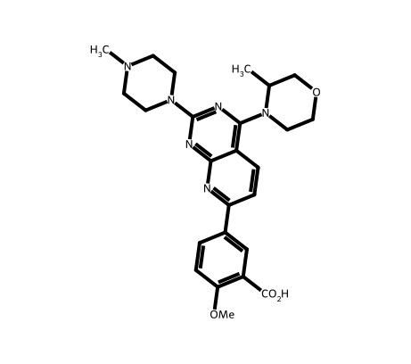 COc1ccc(-c2ccc3c(N4CCOCC4C)nc(N4CCN(C)CC4)nc3n2)cc1C(=O)O